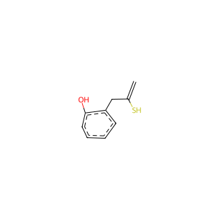 C=C(S)Cc1ccccc1O